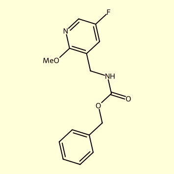 COc1ncc(F)cc1CNC(=O)OCc1ccccc1